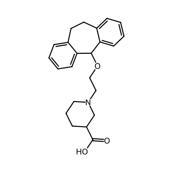 O=C(O)C1CCCN(CCOC2c3ccccc3CCc3ccccc32)C1